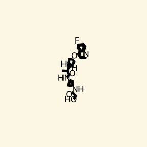 CC(C(=O)NC12CC(NC(=O)CO)(C1)C2)C1[C@H]2CC(Oc3ccnc4ccc(F)cc34)C[C@@H]12